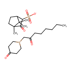 CC12CCC(C(S(=O)(=O)[O-])C1=O)C2(C)C.CCCCCCC(=O)C[S+]1CCC(=O)CC1